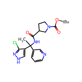 CC(C)(C)OC(=O)N1CCC(C(=O)NC(C)(c2cccnc2)c2c[nH]nc2Cl)C1